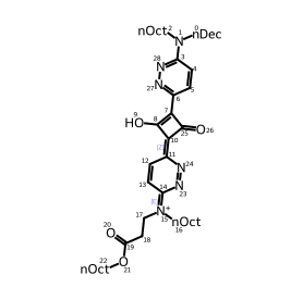 CCCCCCCCCCN(CCCCCCCC)c1ccc(C2=C(O)/C(=C3C=C/C(=[N+](/CCCCCCCC)CCC(=O)OCCCCCCCC)N=N\3)C2=O)nn1